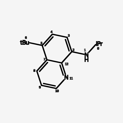 CC(C)Nc1ccc(C(C)(C)C)c2cccnc12